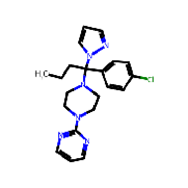 [CH2]CCC(c1ccc(Cl)cc1)(N1CCN(c2ncccn2)CC1)n1cccn1